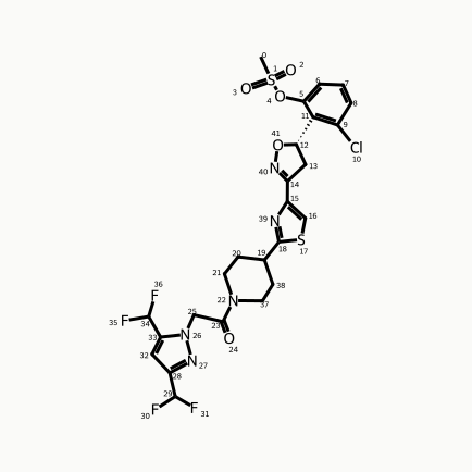 CS(=O)(=O)Oc1cccc(Cl)c1[C@@H]1CC(c2csc(C3CCN(C(=O)Cn4nc(C(F)F)cc4C(F)F)CC3)n2)=NO1